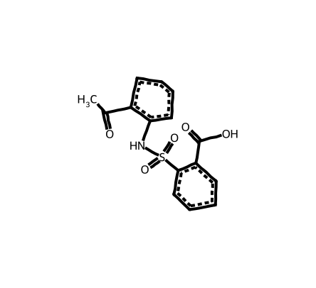 CC(=O)c1ccccc1NS(=O)(=O)c1ccccc1C(=O)O